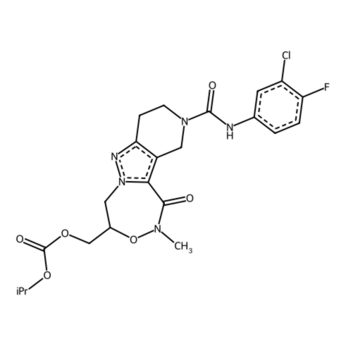 CC(C)OC(=O)OCC1Cn2nc3c(c2C(=O)N(C)O1)CN(C(=O)Nc1ccc(F)c(Cl)c1)CC3